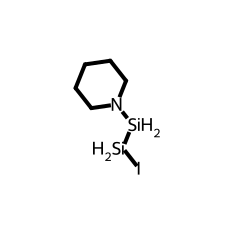 I[SiH2][SiH2]N1CCCCC1